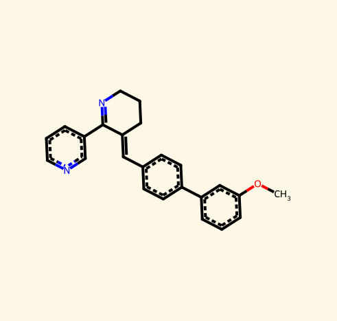 COc1cccc(-c2ccc(C=C3CCCN=C3c3cccnc3)cc2)c1